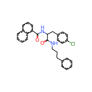 O=C(NC(Cc1ccc(Cl)cc1)C(=O)NCCCc1ccccc1)c1cccc2ccccc12